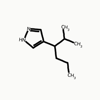 CCCC(c1cn[nH]c1)C(C)C